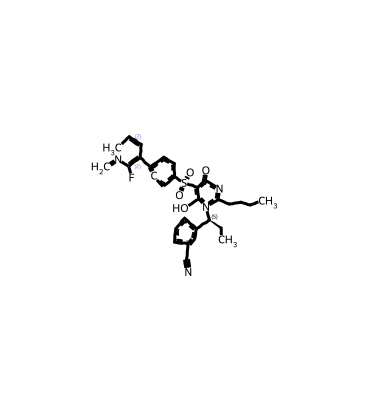 C=N/C(F)=C(\C=C/C)c1ccc(S(=O)(=O)c2c(O)n([C@@H](CC)c3cccc(C#N)c3)c(CCCC)nc2=O)cc1